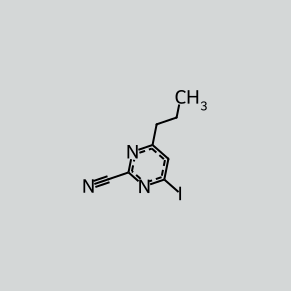 CCCc1cc(I)nc(C#N)n1